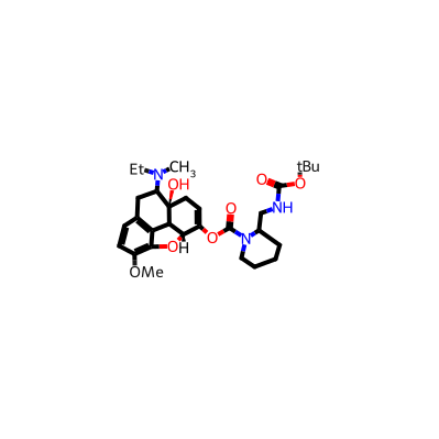 CCN(C)C1Cc2ccc(OC)c3c2C2[C@@H](O3)C(OC(=O)N3CCCCC3CNC(=O)OC(C)(C)C)=CC[C@]21O